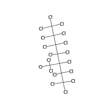 [O]C(Cl)(Cl)C(Cl)(C(Cl)(Cl)C(Cl)(Cl)Cl)C(Cl)(Cl)C(Cl)(Cl)C(Cl)(Cl)C(Cl)(Cl)Cl